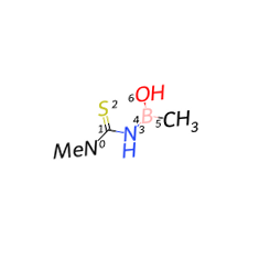 CNC(=S)NB(C)O